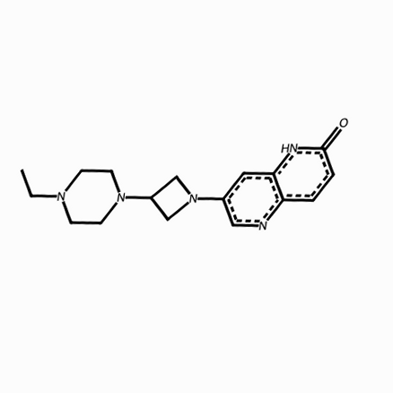 CCN1CCN(C2CN(c3cnc4ccc(=O)[nH]c4c3)C2)CC1